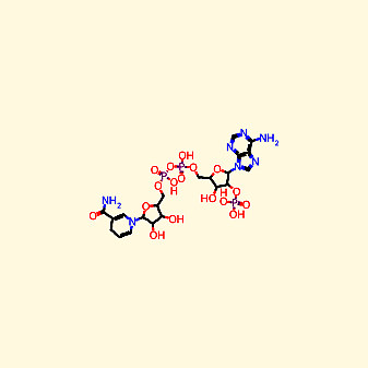 NC(=O)C1=CN(C2OC(COP(=O)(O)OP(=O)(O)OCC3OC(n4cnc5c(N)ncnc54)C(OP(=O)(O)O)C3O)C(O)C2O)C=CC1